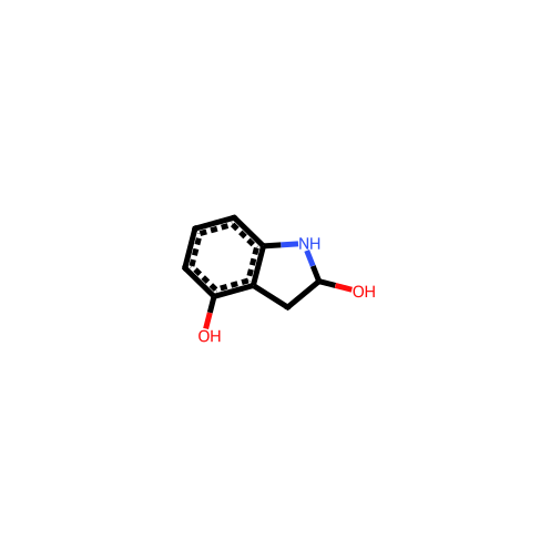 Oc1cccc2c1CC(O)N2